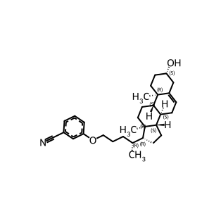 C[C@H](CCCOc1cccc(C#N)c1)[C@H]1CC[C@H]2[C@@H]3CC=C4C[C@@H](O)CC[C@]4(C)[C@H]3CC[C@]12C